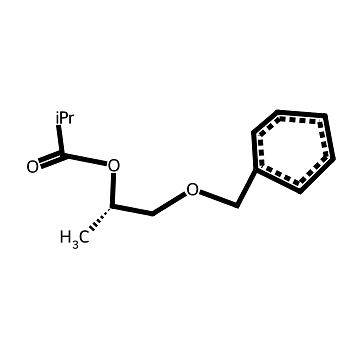 CC(C)C(=O)O[C@@H](C)COCc1ccccc1